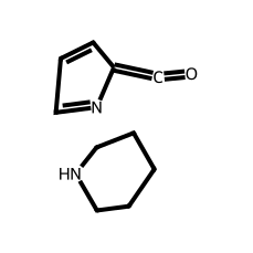 C1CCNCC1.O=C=C1C=CC=N1